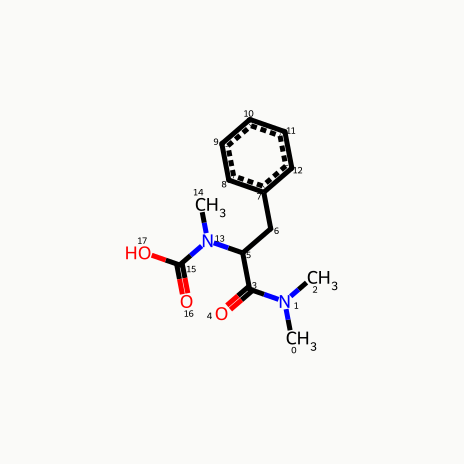 CN(C)C(=O)C(Cc1ccccc1)N(C)C(=O)O